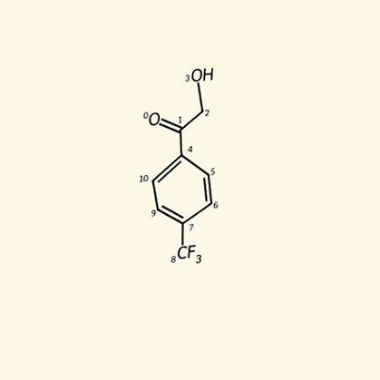 O=C(CO)c1ccc(C(F)(F)F)cc1